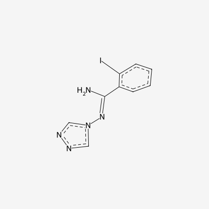 N/C(=N\n1cnnc1)c1ccccc1I